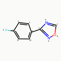 Fc1ccc(-c2n[c]on2)cc1